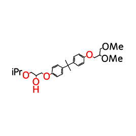 COCC(COc1ccc(C(C)(C)c2ccc(OCC(O)COC(C)C)cc2)cc1)OC